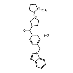 C[C@H]1CCCN1[C@@H]1CCN(C(=O)c2ccc(Cn3cnc4ccccc43)cc2)C1.Cl